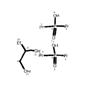 CC(C)P(=O)(O)C(C)C.CC(C)P(=O)(O)C(C)C.CCC(O)CO